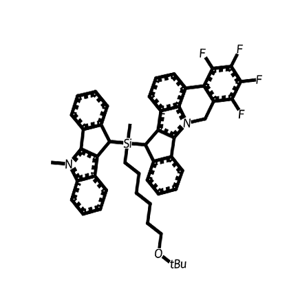 Cn1c2c(c3ccccc31)C([Si](C)(CCCCCCOC(C)(C)C)C1c3ccccc3-c3c1c1cccc4c1n3Cc1c(F)c(F)c(F)c(F)c1-4)c1ccccc1-2